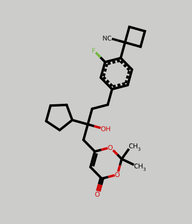 CC1(C)OC(=O)C=C(CC(O)(CCc2ccc(C3(C#N)CCC3)c(F)c2)C2CCCC2)O1